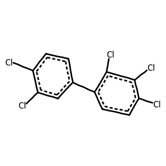 Clc1ccc(-c2ccc(Cl)c(Cl)c2Cl)cc1Cl